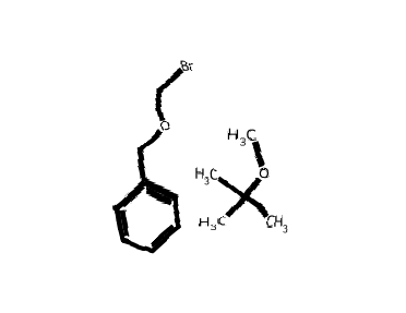 BrCOCc1ccccc1.COC(C)(C)C